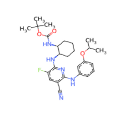 CC(C)Oc1cccc(Nc2nc(N[C@@H]3CCCC[C@@H]3NC(=O)OC(C)(C)C)c(F)cc2C#N)c1